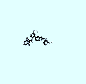 Cc1cc(-c2ccn3nc(Nc4ccnc(C)n4)cc3c2)c(OC2C[C@H]3COC[C@@H](C2)N3C)cn1